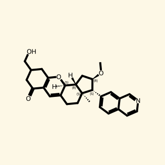 CO[C@@H]1C[C@H]2[C@@H]3OC4=C(C=C3CC[C@]2(C)[C@H]1c1ccc2ccncc2c1)C(=O)CC(CO)C4